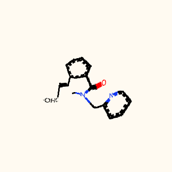 CN(Cc1ccccn1)C(=O)c1ccccc1/C=C/[C]=O